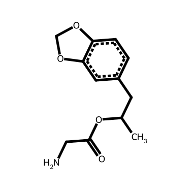 CC(Cc1ccc2c(c1)OCO2)OC(=O)CN